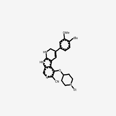 CCN1CCC(Oc2c(C#N)ncc3[nH]c4c(c23)C=C(c2ccc(C(C)(C)C)c(OC)c2)CN4)CC1